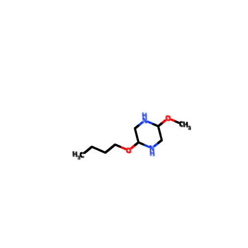 CCCCOC1CNC(OC)CN1